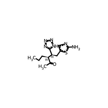 CCC[C@H](C(C)=O)[C@H](Cc1cnc(N)s1)c1nnn[nH]1